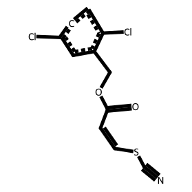 N#CS/C=C\C(=O)OCc1cc(Cl)ccc1Cl